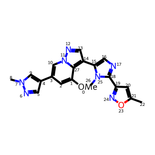 COc1cc(-c2cnn(C)c2)cn2ncc(-c3cnc(-c4cc(C)on4)n3C)c12